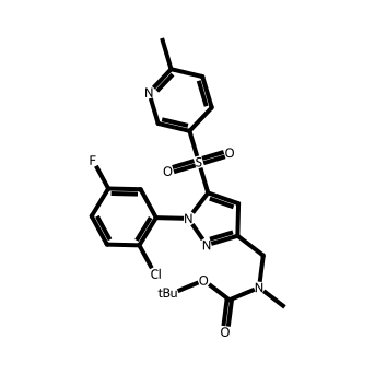 Cc1ccc(S(=O)(=O)c2cc(CN(C)C(=O)OC(C)(C)C)nn2-c2cc(F)ccc2Cl)cn1